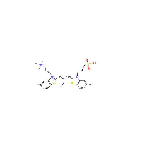 CCC(/C=C1\Sc2ccc(C)cc2N1CCCS(=O)(=O)O)=C\c1sc2ccc(C)cc2[n+]1CCC[N+](C)(C)C